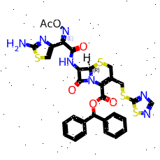 CC(=O)O/N=C(/C(=O)NC1C(=O)N2C(C(=O)OC(c3ccccc3)c3ccccc3)=C(CSc3ncns3)CS[C@H]12)c1csc(N)n1